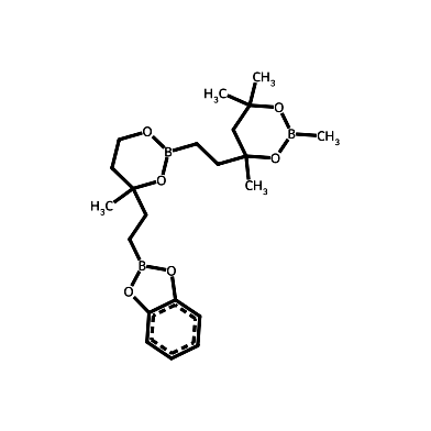 CB1OC(C)(C)CC(C)(CCB2OCCC(C)(CCB3Oc4ccccc4O3)O2)O1